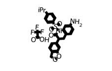 CC(C)c1ccc(S(=O)(=O)NC(=O)C(Cc2ccc(N)cc2)c2ccc3c(c2)OOC3)cc1.O=C(O)C(F)(F)F